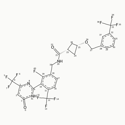 O=c1cc(C(F)(F)F)nc(-c2c(C(F)(F)F)ccc(CNC(=O)[C@H]3C[C@@H](OCc4cccc(C(F)(F)F)c4)C3)c2F)[nH]1